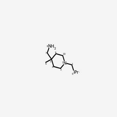 C[C](C)CN1CCC(C)(CN)CC1